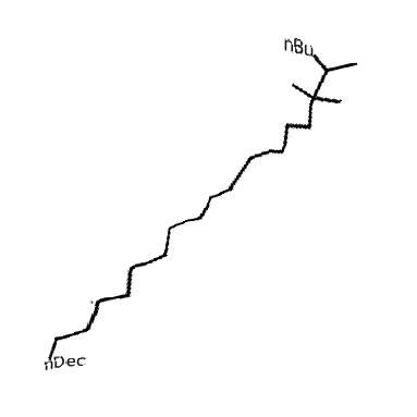 CCCCCCCCCCCC[CH]CCCCCCCCCCCC(C)(C)C(C)CCCC